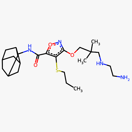 CCCSc1c(OCC(C)(C)CNCCN)noc1C(=O)NC1C2CC3CC(C2)CC1C3